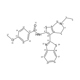 CCN1CCc2c(sc(NC(=O)c3ccc(OC)cc3)c2-c2nc3ccccc3s2)C1